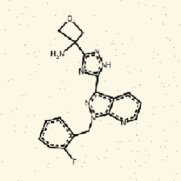 NC1(c2n[nH]c(-c3nn(Cc4ccccc4F)c4ncccc34)n2)COC1